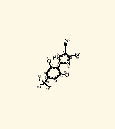 N#Cc1[nH]c(-c2c(Cl)cc(C(F)(F)F)cc2Cl)nc1Br